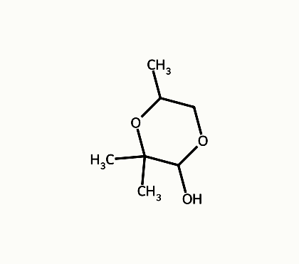 CC1COC(O)C(C)(C)O1